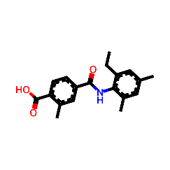 CCc1cc(C)cc(C)c1NC(=O)c1ccc(C(=O)O)c(C)c1